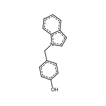 Oc1ccc(Cn2ccc3ccccc32)cc1